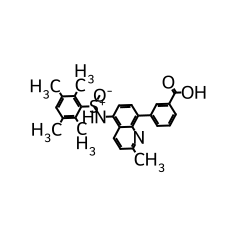 Cc1ccc2c(N[S+]([O-])c3c(C)c(C)cc(C)c3C)ccc(-c3cccc(C(=O)O)c3)c2n1